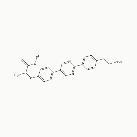 CCCCCCCCCCCCc1ccc(-c2ncc(-c3ccc(OC(C)C(=O)OCCC)cc3)cn2)cc1